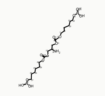 NC(COC(=O)OCCCCCCON(O)O)CSC(=O)OCCCCCCON(O)O